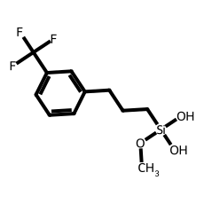 CO[Si](O)(O)CCCc1cccc(C(F)(F)F)c1